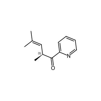 CC(C)=C[C@H](C)C(=O)c1ccccn1